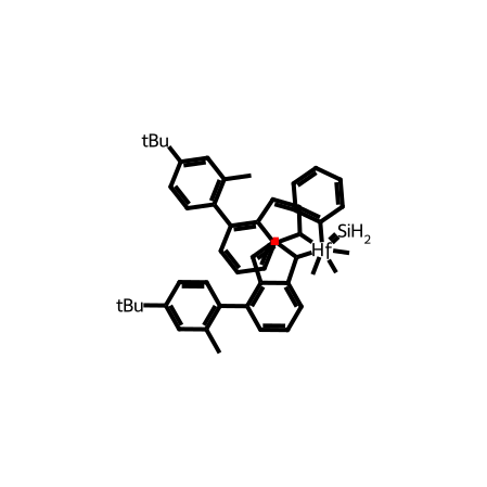 Cc1cc(C(C)(C)C)ccc1-c1cccc2c1C=C[CH]2[Hf]([CH3])([CH3])([CH3])(=[SiH2])([c]1ccccc1)[CH]1C=Cc2c(-c3ccc(C(C)(C)C)cc3C)cccc21